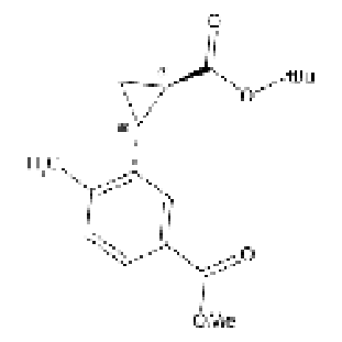 COC(=O)c1ccc(C)c([C@@H]2C[C@H]2C(=O)OC(C)(C)C)c1